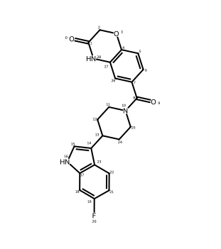 O=C1COc2ccc(C(=O)N3CCC(c4c[nH]c5cc(F)ccc45)CC3)cc2N1